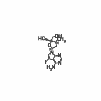 C#C[C@]1(CO)O[C@@H](n2cc(I)c3c(N)ncnc32)C[C@@H]1C